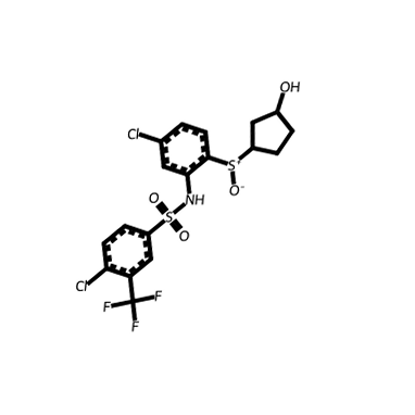 O=S(=O)(Nc1cc(Cl)ccc1[S+]([O-])C1CCC(O)C1)c1ccc(Cl)c(C(F)(F)F)c1